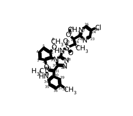 COc1cccc(OC)c1-n1c(NS(=O)(=O)C(C)C(OC)c2ncc(Cl)cn2)nnc1-c1n[nH]c2ccc(C)cc12